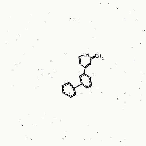 C=C/C=C(\C=C/C)c1cccc(-c2ccccc2)c1